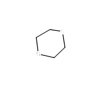 [CH]1CSCC[N]1